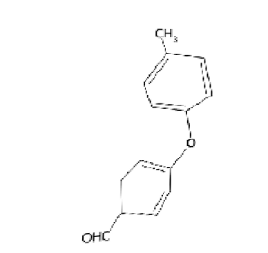 Cc1ccc(OC2=CCC(C=O)C=C2)cc1